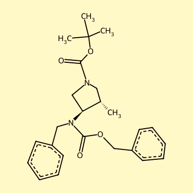 C[C@H]1CN(C(=O)OC(C)(C)C)C[C@@H]1N(Cc1ccccc1)C(=O)OCc1ccccc1